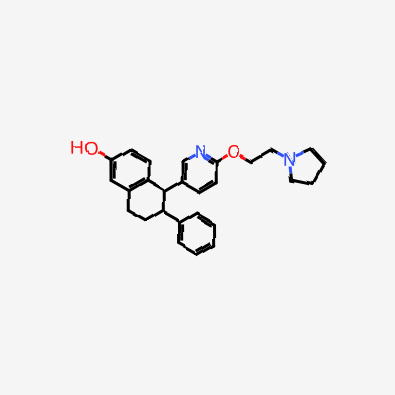 Oc1ccc2c(c1)CCC(c1ccccc1)C2c1ccc(OCCN2CCCC2)nc1